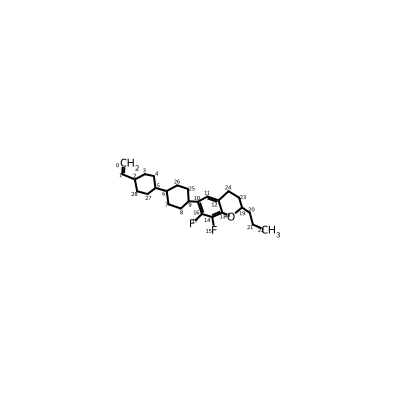 C=CC1CCC(C2CCC(c3cc4c(c(F)c3F)OC(CCC)CC4)CC2)CC1